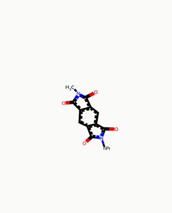 CCCn1c(=O)c2cc3c(=O)n(C)c(=O)c3cc2c1=O